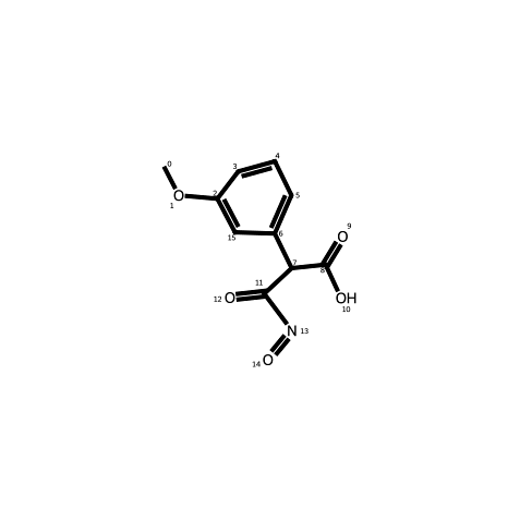 COc1cccc(C(C(=O)O)C(=O)N=O)c1